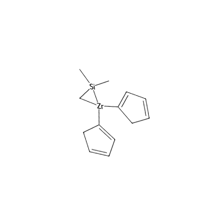 C[Si]1(C)[CH2][Zr]1([C]1=CC=CC1)[C]1=CC=CC1